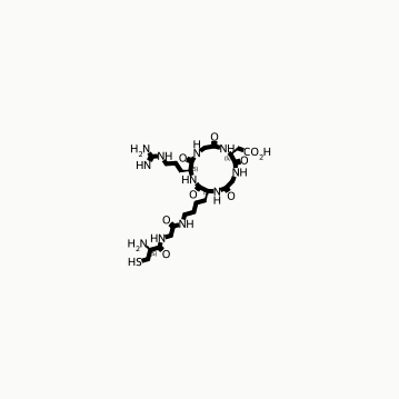 N=C(N)NCCC[C@@H]1NC(=O)[C@H](CCCCNC(=O)CNC(=O)[C@H](N)CS)NC(=O)CNC(=O)[C@H](CC(=O)O)NC(=O)CNC1=O